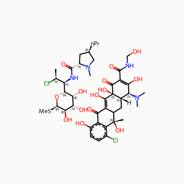 CCC[C@@H]1C[C@@H](C(=O)N[C@@H]([C@H]2O[C@H](SC)[C@H](O)[C@@H](O)[C@H]2O)[C@H](C)Cl)N(C)C1.CN(C)[C@@H]1C(O)=C(C(=O)NCO)C(=O)[C@@]2(O)C(O)=C3C(=O)c4c(O)ccc(Cl)c4[C@@](C)(O)C3C[C@@H]12